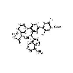 COc1cc(F)c(-c2ncc(N3CCC[C@](N)(C(O)C(F)F)C3)c(Cn3cnc4c(N)ncnc43)n2)cc1F